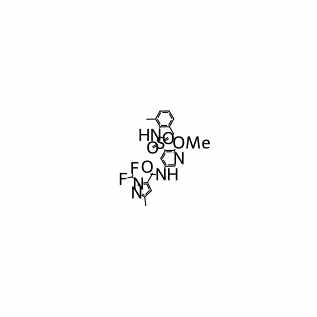 COc1ncc(NC(=O)c2cc(C)nn2C(F)F)cc1S(=O)(=O)Nc1c(C)cccc1C